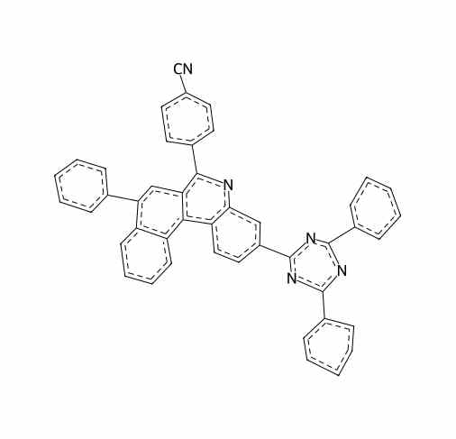 N#Cc1ccc(-c2nc3cc(-c4nc(-c5ccccc5)nc(-c5ccccc5)n4)ccc3c3c2cc(-c2ccccc2)c2ccccc23)cc1